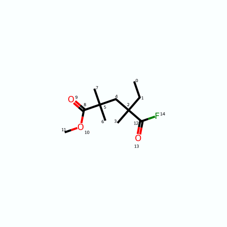 CCC(C)(CC(C)(C)C(=O)OC)C(=O)F